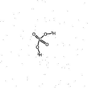 [2H]OS(=O)(=O)O[2H]